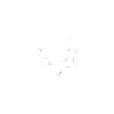 COc1ccc2ncc(C#N)c(CCN3CC[C@@H](CN)C3)c2c1